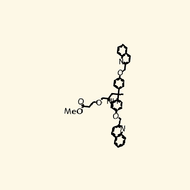 COC(=O)CCOCC(=N)CC(C)(c1ccc(OCc2ccc3ccccc3n2)cc1)c1ccc(OCc2ccc3ccccc3n2)cc1